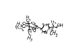 CC(C)(CO)c1ncc(B2OC(C)(C)C(C)(C)O2)cn1